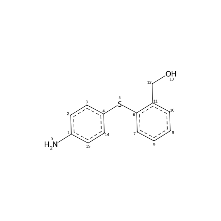 Nc1ccc(Sc2ccccc2CO)cc1